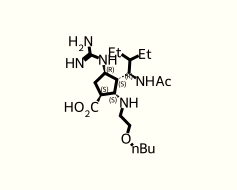 CCCCOCCN[C@H]1[C@@H]([C@H](NC(C)=O)C(CC)CC)[C@H](NC(=N)N)C[C@@H]1C(=O)O